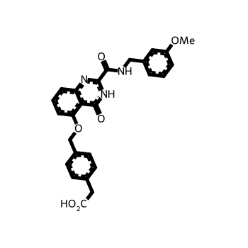 COc1cccc(CNC(=O)c2nc3cccc(OCc4ccc(CC(=O)O)cc4)c3c(=O)[nH]2)c1